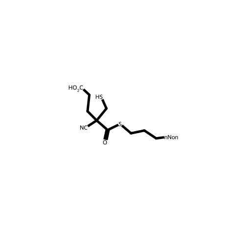 CCCCCCCCCCCCSC(=O)C(C#N)(CS)CCC(=O)O